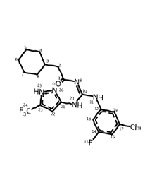 O=C(CC1CCCCC1)/N=C(/Nc1cc(F)cc(Cl)c1)Nc1cc(C(F)(F)F)[nH]n1